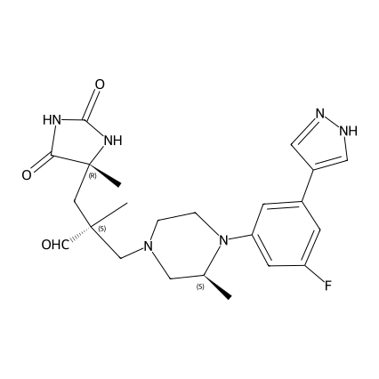 C[C@H]1CN(C[C@@](C)(C=O)C[C@@]2(C)NC(=O)NC2=O)CCN1c1cc(F)cc(-c2cn[nH]c2)c1